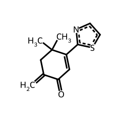 C=C1CC(C)(C)C(c2nccs2)=CC1=O